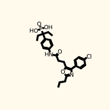 CCCc1nc(-c2ccc(Cl)cc2)c(CCC(=O)Nc2ccc(C(CC)(CC)P(=O)(O)O)cc2)o1